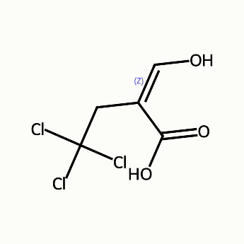 O=C(O)/C(=C\O)CC(Cl)(Cl)Cl